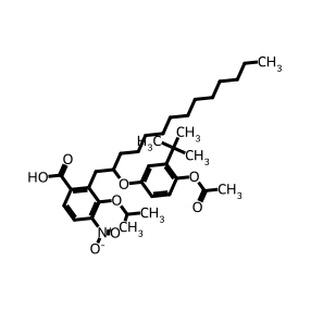 CCCCCCCCCCCCC(Cc1c(C(=O)O)ccc([N+](=O)[O-])c1OC(C)C)Oc1ccc(OC(C)=O)c(C(C)(C)C)c1